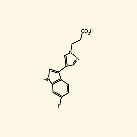 O=C(O)CCn1cc(-c2c[nH]c3cc(F)ccc23)cn1